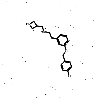 Clc1ccc(COc2cccc(CCNCC3CNC3)c2)cc1